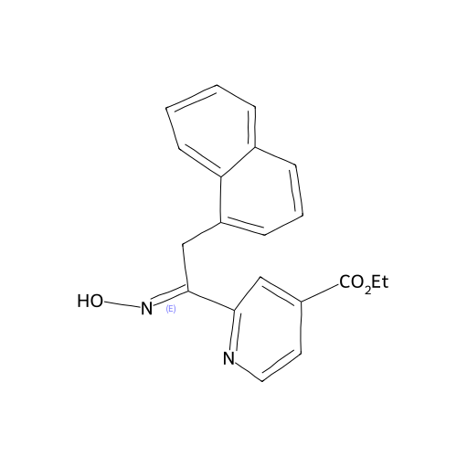 CCOC(=O)c1ccnc(/C(Cc2cccc3ccccc23)=N/O)c1